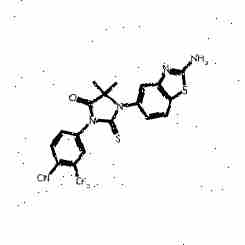 [C-]#[N+]c1ccc(N2C(=O)C(C)(C)N(c3ccc4sc(N)nc4c3)C2=S)cc1C(F)(F)F